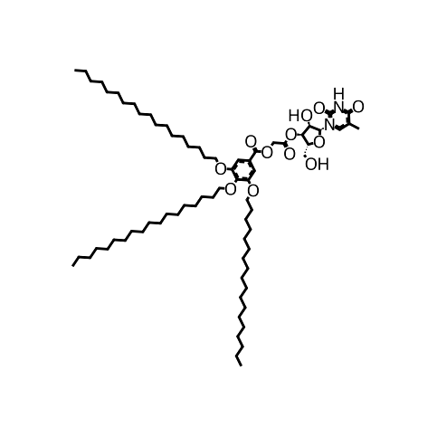 CCCCCCCCCCCCCCCCCCOc1cc(C(=O)OCC(=O)O[C@H]2[C@@H](O)[C@H](n3cc(C)c(=O)[nH]c3=O)O[C@@H]2CO)cc(OCCCCCCCCCCCCCCCCCC)c1OCCCCCCCCCCCCCCCCCC